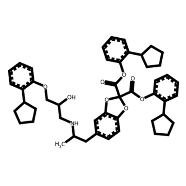 CC(Cc1ccc2c(c1)OC(C(=O)Oc1ccccc1C1CCCC1)(C(=O)Oc1ccccc1C1CCCC1)O2)NCC(O)COc1ccccc1C1CCCC1